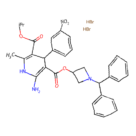 Br.Br.CC1=C(C(=O)OC(C)C)C(c2cccc([N+](=O)[O-])c2)C(C(=O)OC2CN(C(c3ccccc3)c3ccccc3)C2)=C(N)N1